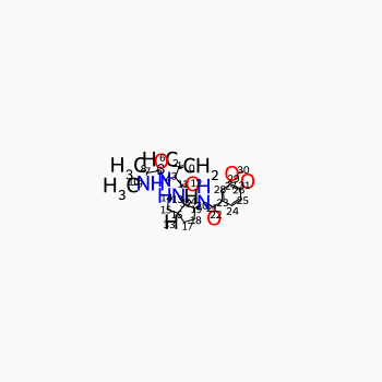 C=C(C)[C@H](NC(=O)[C@H](C)NC)C(=O)N1CC[C@H]2CC[C@H](NC(=O)c3ccc4c(c3)OCO4)[C@H]21